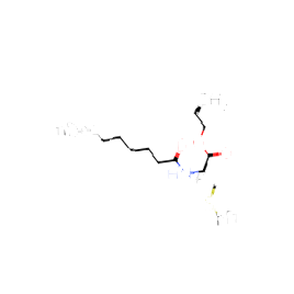 [CH2][CH]CSC[C@H](NC(=O)CCCCCCCCCCCCCCC)C(=O)OCC=C